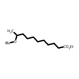 CCOC(=O)CCCCCCCCC(C)OC(C)CC